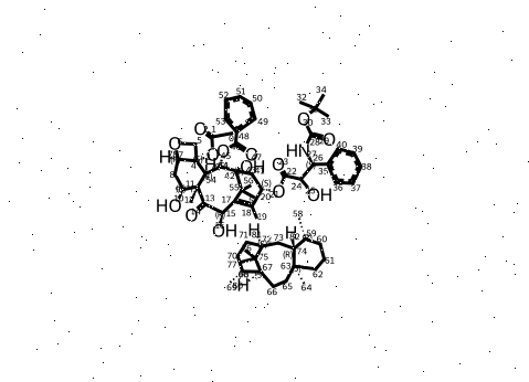 CC(=O)O[C@@]12CO[C@@H]1C[C@H](O)[C@@]1(C)C(=O)[C@H](O)C3=C(C)[C@@H](OC(=O)C(O)[C@@H](NC(=O)OC(C)(C)C)c4ccccc4)C[C@@](O)([C@@H](OC(=O)c4ccccc4)[C@H]21)C3(C)C.C[C@@H]1CCC[C@@]2(C)CC[C@H]3[C@H](C)CC[C@@H](C[C@H]12)C3(C)C